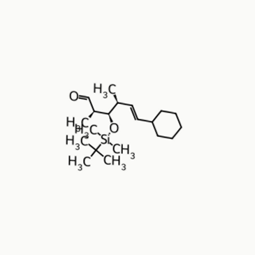 C[C@@H](C=O)[C@H](O[Si](C)(C)C(C)(C)C)[C@@H](C)/C=C/C1CCCCC1